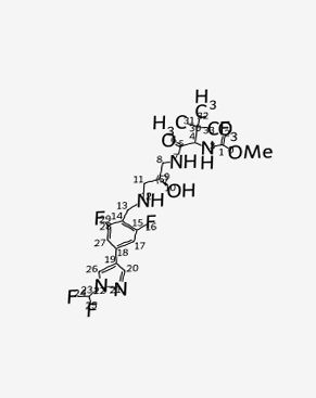 COC(=O)NC(C(=O)NC[C@@H](O)CNCc1c(F)cc(-c2cnn(C(F)F)c2)cc1F)C(C)(C)C(F)(F)F